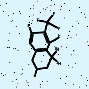 [2H]C1([2H])CC(C)Cc2cc(F)c(C(F)(F)F)c(F)c21